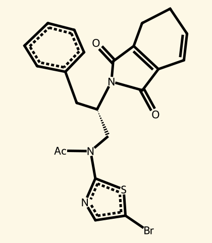 CC(=O)N(C[C@H](Cc1ccccc1)N1C(=O)C2=C(CCC=C2)C1=O)c1ncc(Br)s1